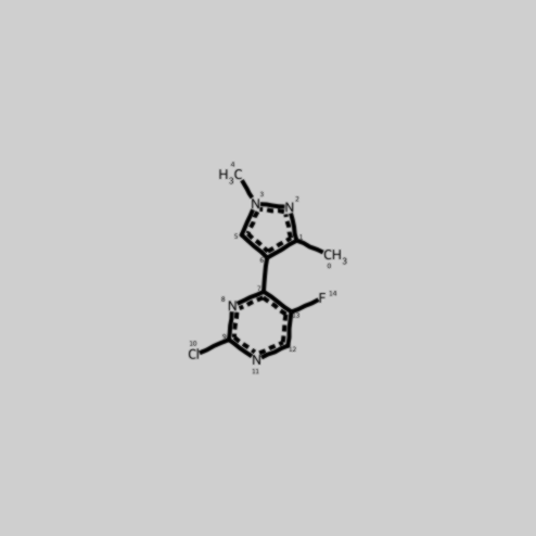 Cc1nn(C)cc1-c1nc(Cl)ncc1F